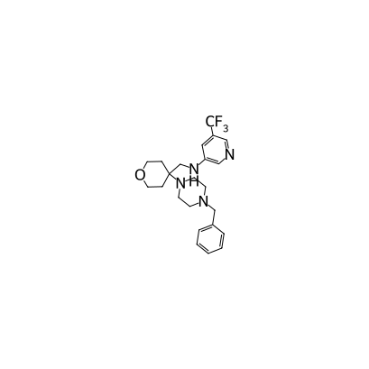 FC(F)(F)c1cncc(NCC2(N3CCN(Cc4ccccc4)CC3)CCOCC2)c1